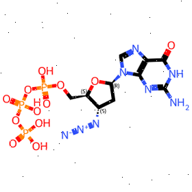 [N-]=[N+]=N[C@H]1C[C@H](n2cnc3c(=O)[nH]c(N)nc32)O[C@@H]1COP(=O)(O)OP(=O)(O)OP(=O)(O)O